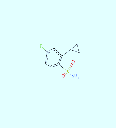 NS(=O)(=O)c1ccc(F)cc1C1CC1